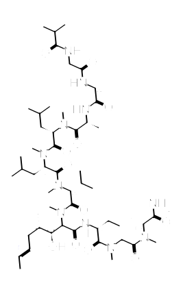 C/C=C/C[C@H](C)[C@H](O)C(C(=O)N[C@@H](CC)C(=O)N(C)CC(=O)N(C)[C@H](C)C(N)=O)N(C)C(=O)[C@@H](C(C)C)N(C)C(=O)[C@@H](CC(C)C)N(C)C(=O)[C@@H](CC(C)C)N(C)C(=O)[C@H](C)NC(=O)[C@@H](C)NC(=O)CNC(=O)C(C)C